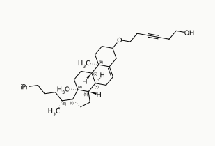 CC(C)CCC[C@@H](C)[C@H]1CC[C@H]2[C@@H]3CC=C4CC(OCCC#CCCO)CC[C@]4(C)[C@H]3CC[C@]12C